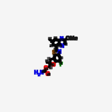 COc1cnc2c(-c3nc4cc(F)c5c(c4s3)C[C@@](C)(COC(N)=O)O5)cc(C)cc2n1